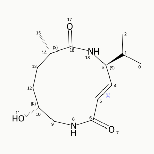 CC(C)[C@H]1/C=C/C(=O)NC[C@H](O)CC[C@H](C)C(=O)N1